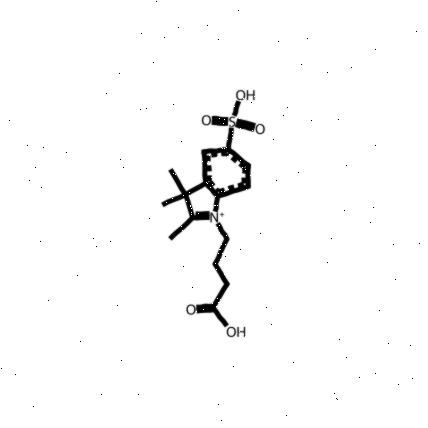 CC1=[N+](CCCC(=O)O)c2ccc(S(=O)(=O)O)cc2C1(C)C